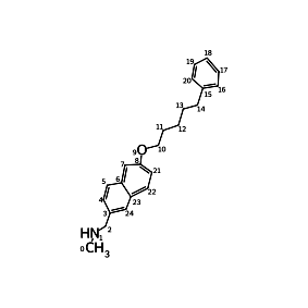 CNCc1ccc2cc(OCCCCCc3ccccc3)ccc2c1